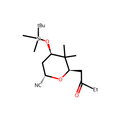 CCC(=O)C[C@H]1O[C@H](C#N)C[C@@H](O[Si](C)(C)C(C)(C)C)C1(C)C